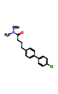 CON(C)C(=O)CCCc1ccc(-c2ccc(Cl)cc2)cc1